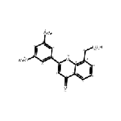 COc1cc(OC)cc(-c2cc(=O)c3cccc(CC(=O)O)c3o2)c1